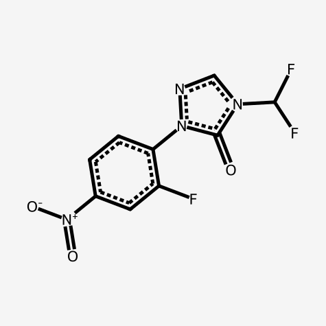 O=c1n(C(F)F)cnn1-c1ccc([N+](=O)[O-])cc1F